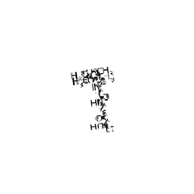 CC[C@H](O)CC(=O)SCCNC(=O)C=CNC(=O)[C@@H]1OC(C)(C)OCC1(C)C